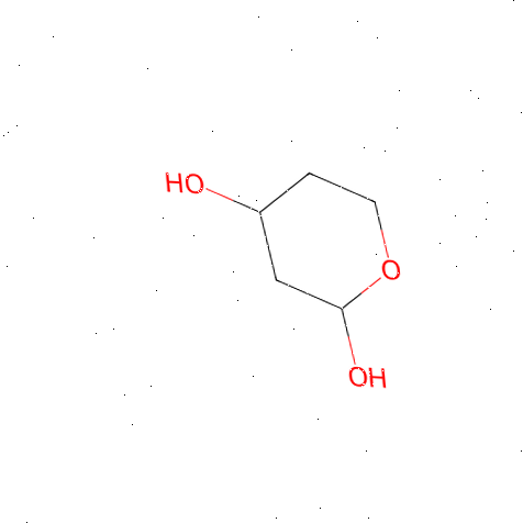 OC1CCOC(O)C1